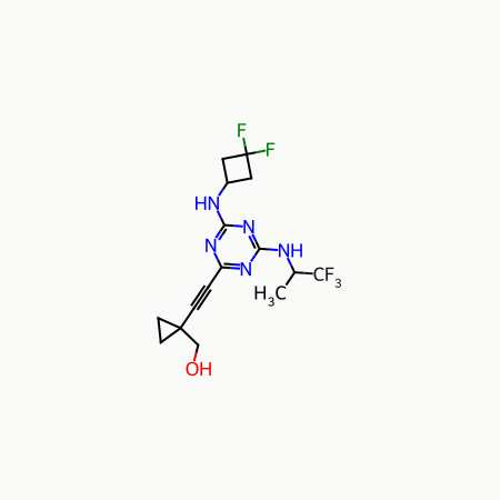 CC(Nc1nc(C#CC2(CO)CC2)nc(NC2CC(F)(F)C2)n1)C(F)(F)F